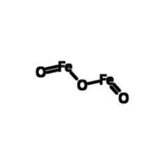 [O]=[Fe][O][Fe]=[O]